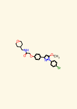 COc1cc(-c2ccc(OCC(=O)NCC3CCOCC3)cc2)nn1-c1ccc(Br)cc1